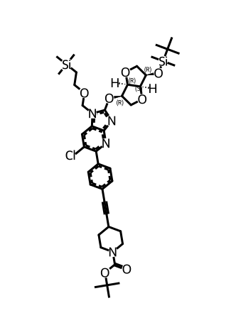 CC(C)(C)OC(=O)N1CCC(C#Cc2ccc(-c3nc4nc(O[C@@H]5CO[C@H]6[C@@H]5OC[C@H]6O[Si](C)(C)C(C)(C)C)n(COCC[Si](C)(C)C)c4cc3Cl)cc2)CC1